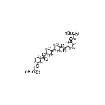 CCCCC(CC)COc1cccc(C(=O)Oc2ccc(-c3ccc(OC(=O)c4cccc(OCC(CC)CCCC)c4)cc3)cc2)c1